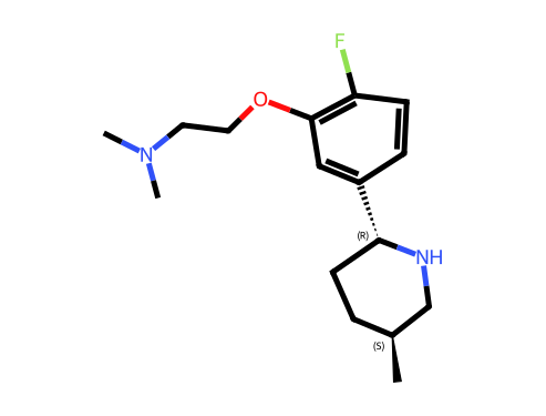 C[C@H]1CC[C@H](c2ccc(F)c(OCCN(C)C)c2)NC1